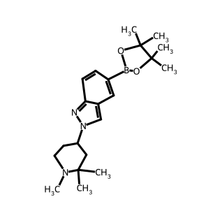 CN1CCC(n2cc3cc(B4OC(C)(C)C(C)(C)O4)ccc3n2)CC1(C)C